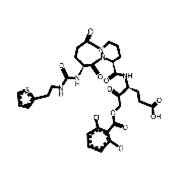 O=C(O)CC[C@H](NC(=O)[C@@H]1CCCN2C(=O)CC[C@H](NC(=O)NCCc3cccs3)C(=O)N12)C(=O)COC(=O)c1c(Cl)cccc1Cl